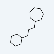 C1CCCC(CCCC2CCCCC2)CC1